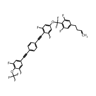 C=CCCc1cc(F)c(C(F)(F)Oc2cc(F)c(C#Cc3ccc(C#Cc4cc(F)c(OC(F)(F)F)c(F)c4)cc3)c(F)c2)c(F)c1